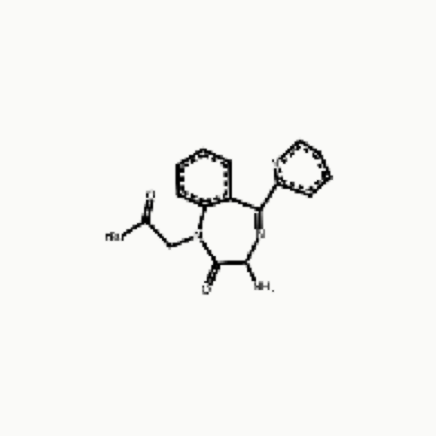 CC(C)(C)C(=O)CN1C(=O)C(N)N=C(c2ccccn2)c2ccccc21